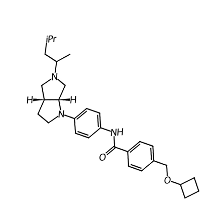 CC(C)CC(C)N1C[C@H]2CCN(c3ccc(NC(=O)c4ccc(COC5CCC5)cc4)cc3)[C@H]2C1